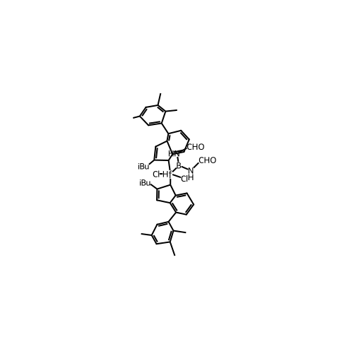 CCC(C)C1=Cc2c(-c3cc(C)cc(C)c3C)cccc2[CH]1[Hf]([Cl])([Cl])([B](NC=O)NC=O)[CH]1C(C(C)CC)=Cc2c(-c3cc(C)cc(C)c3C)cccc21